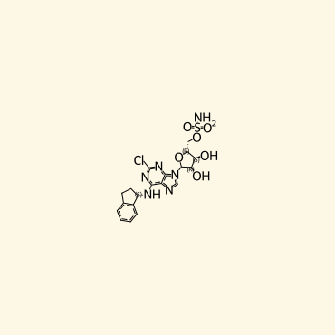 NS(=O)(=O)OC[C@H]1OC(n2cnc3c(N[C@H]4CCc5ccccc54)nc(Cl)nc32)[C@H](O)[C@@H]1O